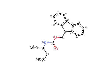 CO[C@@H](CC(=O)O)NC(=O)OCC1c2ccccc2-c2ccccc21